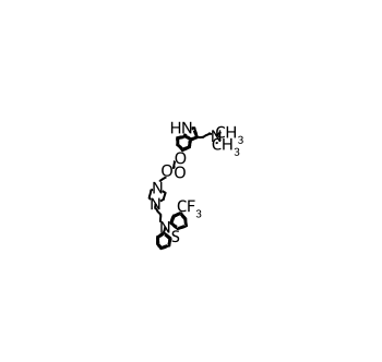 CN(C)CCc1c[nH]c2ccc(OCC(=O)OCCN3CCN(CCCN4c5ccccc5Sc5ccc(C(F)(F)F)cc54)CC3)cc12